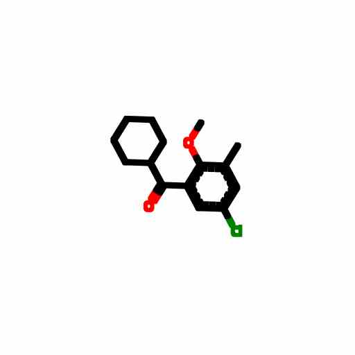 COc1c(C)cc(Cl)cc1C(=O)C1CCCCC1